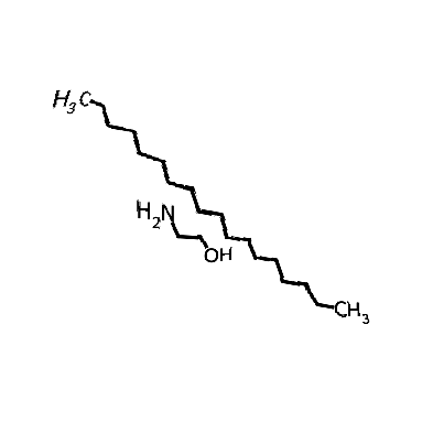 CCCCCCCCCCCCCCCCCC.NCCO